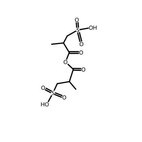 CC(CS(=O)(=O)O)C(=O)OC(=O)C(C)CS(=O)(=O)O